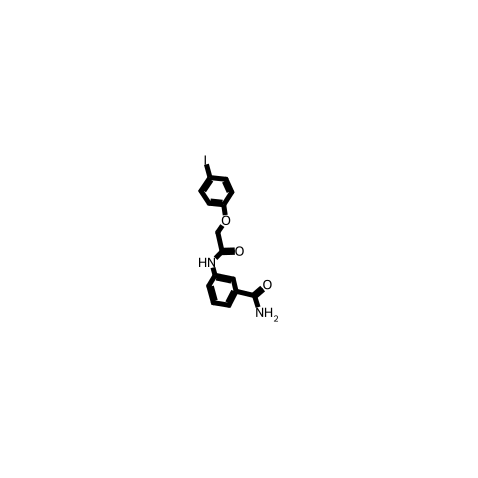 NC(=O)c1cccc(NC(=O)COc2ccc(I)cc2)c1